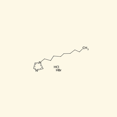 Br.CCCCCCCCCn1ccnc1.Cl